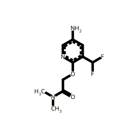 CN(C)C(=O)COc1ncc(N)cc1C(F)F